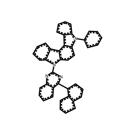 c1ccc(-n2c3ccccc3c3c4c5ccccc5n(-c5nc(-c6cccc7ccccc67)c6ccccc6n5)c4ccc32)cc1